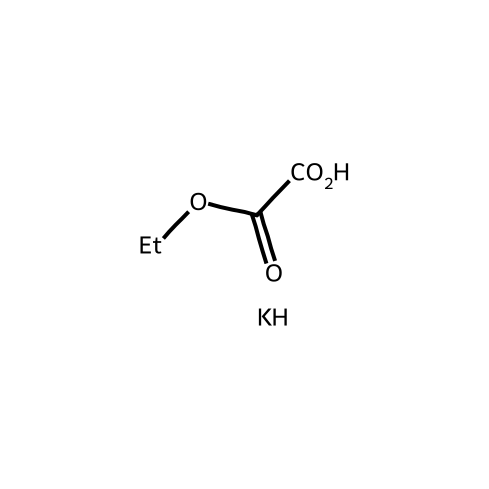 CCOC(=O)C(=O)O.[KH]